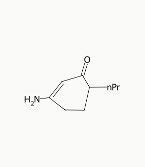 CCCC1CCC(N)=CC1=O